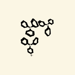 [Ir].c1ccc(P(c2ccccc2)c2ccccc2)cc1.c1ccc(P(c2ccccc2)c2ccccc2)cc1.c1ccc(P(c2ccccc2)c2ccccc2)cc1